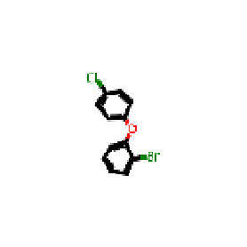 Clc1ccc(Oc2ccccc2Br)cc1